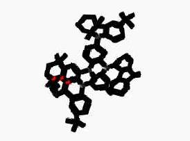 C=C1c2ccccc2-c2c1cccc2N1c2cc(N3c4ccc(C(C)(C)C)cc4C4(C)CCCCC34C)ccc2B2c3cc4c(cc3N(c3ccc(C(C)(C)C)cc3-c3ccccc3)c3cc(C)cc1c32)C(C)(C)CCC4(C)C